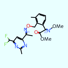 CO/N=C(/C(=O)OC)c1cccc(C)c1CO/N=C(\C)c1cc(C(F)F)nc(C)n1